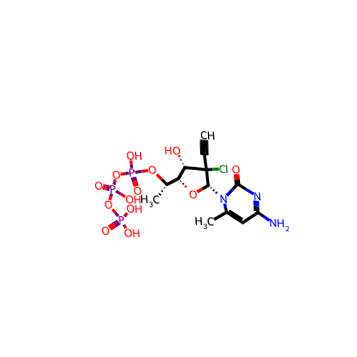 C#CC1(Cl)[C@@H](O)[C@@H]([C@H](C)OP(=O)(O)OP(=O)(O)OP(=O)(O)O)O[C@H]1n1c(C)cc(N)nc1=O